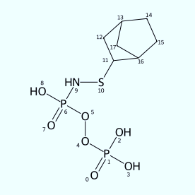 O=P(O)(O)OOP(=O)(O)NSC1CC2CCC1C2